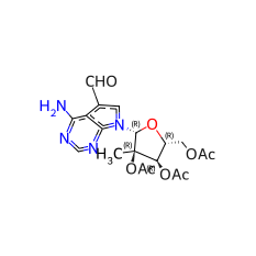 CC(=O)OC[C@H]1O[C@@H](n2cc(C=O)c3c(N)ncnc32)[C@](C)(OC(C)=O)[C@@H]1OC(C)=O